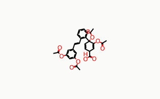 CC(=O)OC1=CC(C(=O)O)C=CC1(OC(C)=O)c1ccccc1/C=C/c1cc(OC(C)=O)cc(OC(C)=O)c1